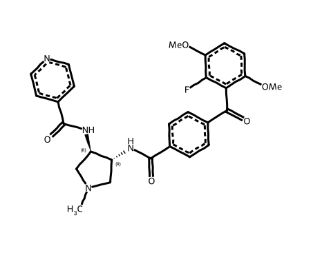 COc1ccc(OC)c(C(=O)c2ccc(C(=O)N[C@@H]3CN(C)C[C@H]3NC(=O)c3ccncc3)cc2)c1F